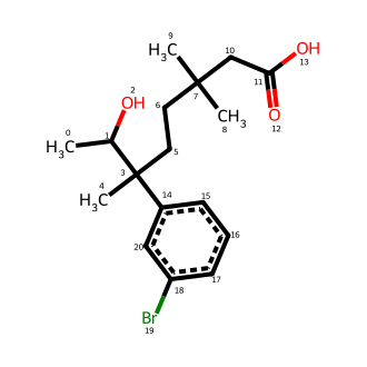 CC(O)C(C)(CCC(C)(C)CC(=O)O)c1cccc(Br)c1